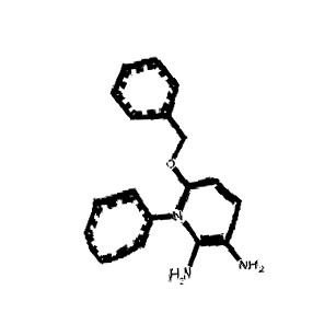 NC1=C(N)N(c2ccccc2)C(OCc2ccccc2)C=C1